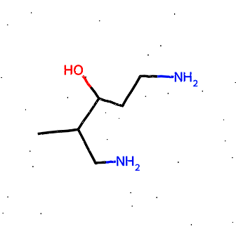 CC(CN)C(O)CCN